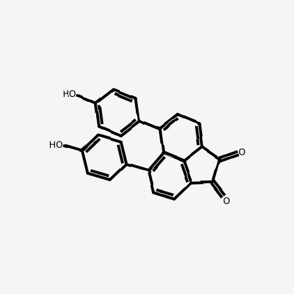 O=C1C(=O)c2ccc(-c3ccc(O)cc3)c3c(-c4ccc(O)cc4)ccc1c23